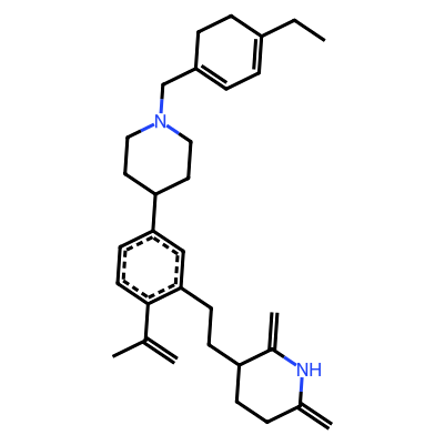 C=C1CCC(CCc2cc(C3CCN(CC4=CC=C(CC)CC4)CC3)ccc2C(=C)C)C(=C)N1